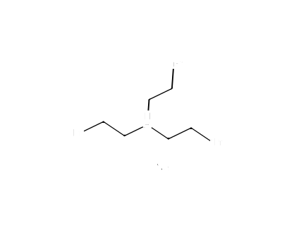 CC(C)CC[BH-](CCC(C)C)CCC(C)C.[Na+]